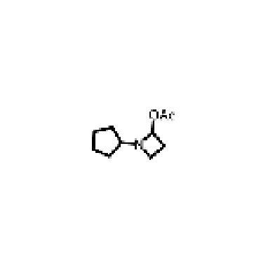 CC(=O)OC1CCN1C1CCCC1